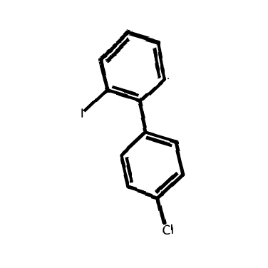 Clc1ccc(-c2[c]cccc2I)cc1